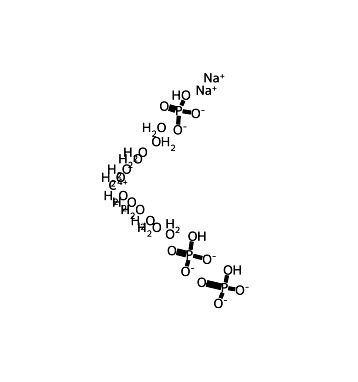 O.O.O.O.O.O.O.O.O.O.O.O.O=P([O-])([O-])O.O=P([O-])([O-])O.O=P([O-])([O-])O.[C+4].[Na+].[Na+]